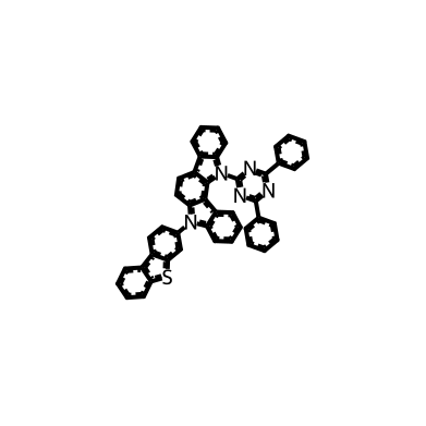 c1ccc(-c2nc(-c3ccccc3)nc(-n3c4ccccc4c4ccc5c(c6ccccc6n5-c5ccc6c(c5)sc5ccccc56)c43)n2)cc1